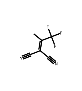 CC(=C(C#N)C#N)C(F)(F)F